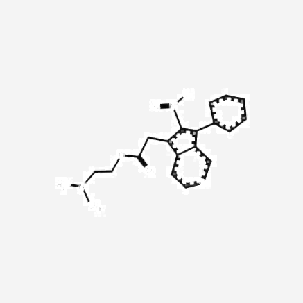 CN(C)CCOC(=O)Cc1c2ccocc-2c(-c2ccccc2)c1[N+](=O)[O-]